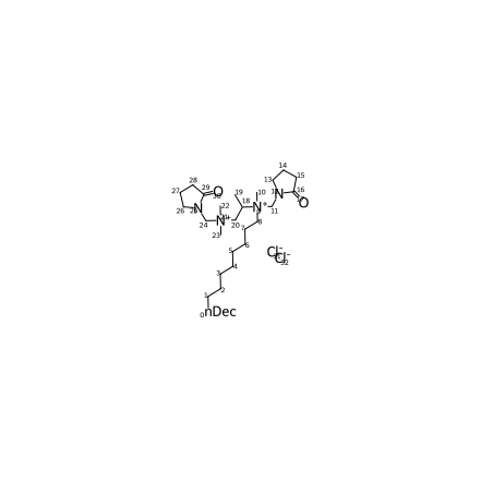 CCCCCCCCCCCCCCCCCC[N+](C)(CN1CCCC1=O)C(C)C[N+](C)(C)CN1CCCC1=O.[Cl-].[Cl-]